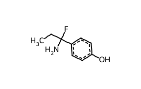 CCC(N)(F)c1ccc(O)cc1